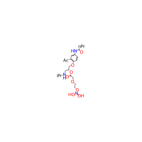 CCCC(=O)Nc1ccc(OCC(CNC(C)C)OC(=O)COCCON(O)O)c(C(C)=O)c1